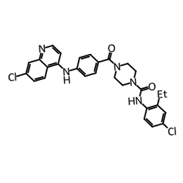 CCc1cc(Cl)ccc1NC(=O)N1CCN(C(=O)c2ccc(Nc3ccnc4cc(Cl)ccc34)cc2)CC1